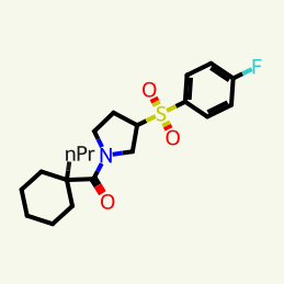 CCCC1(C(=O)N2CCC(S(=O)(=O)c3ccc(F)cc3)C2)CCCCC1